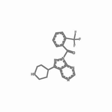 O=C(c1ccccc1C(F)(F)F)n1nc(C2CCNCC2)c2cncnc21